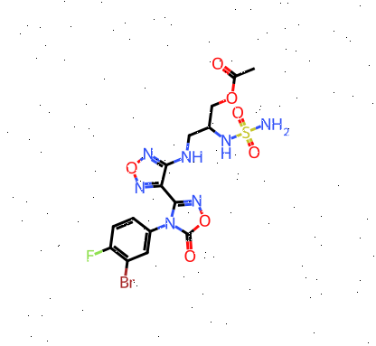 CC(=O)OCC(CNc1nonc1-c1noc(=O)n1-c1ccc(F)c(Br)c1)NS(N)(=O)=O